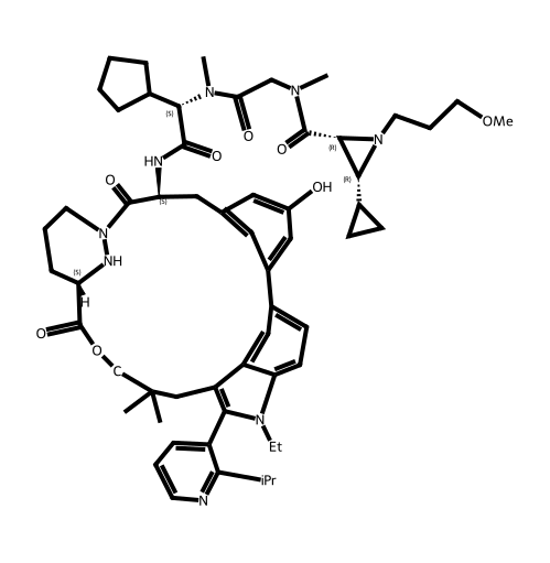 CCn1c(-c2cccnc2C(C)C)c2c3cc(ccc31)-c1cc(O)cc(c1)C[C@H](NC(=O)[C@H](C1CCCC1)N(C)C(=O)CN(C)C(=O)[C@H]1[C@@H](C3CC3)N1CCCOC)C(=O)N1CCC[C@H](N1)C(=O)OCC(C)(C)C2